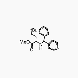 COC(=O)[C@H](CCC(C)(C)C)NC(c1ccccc1)c1ccccc1